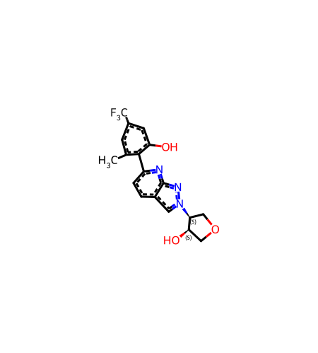 Cc1cc(C(F)(F)F)cc(O)c1-c1ccc2cn([C@H]3COC[C@H]3O)nc2n1